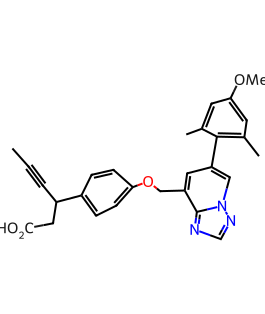 CC#CC(CC(=O)O)c1ccc(OCc2cc(-c3c(C)cc(OC)cc3C)cn3ncnc23)cc1